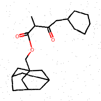 CC(C(=O)CC1CCCCC1)C(=O)OCC12CC3CC(CC(C3)C1)C2